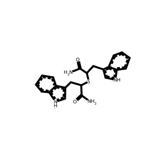 NC(=O)C(Cc1c[nH]c2ccccc12)SC(Cc1c[nH]c2ccccc12)C(N)=O